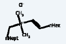 CCCCCCC=C[N+](C)(C)CCCCCCCC.[Cl-]